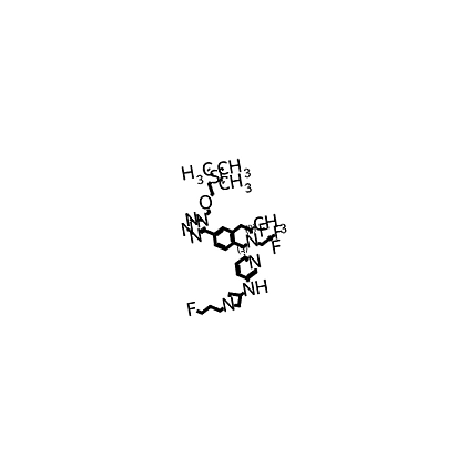 C[C@@H]1Cc2cc(-c3nnnn3COCC[Si](C)(C)C)ccc2[C@@H](c2ccc(NC3CN(CCCF)C3)cn2)N1CC(F)(F)F